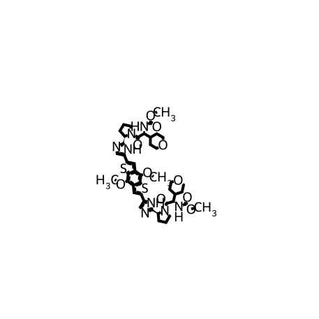 COC(=O)N[C@H](C(=O)N1CCC[C@H]1c1ncc(-c2cc3c(OC)c4sc(-c5cnc([C@@H]6CCCN6C(=O)[C@@H](NC(=O)OC)C6CCOCC6)[nH]5)cc4c(OC)c3s2)[nH]1)C1CCOCC1